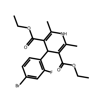 CCOC(=O)C1=C(C)NC(C)=C(C(=O)OCC)C1c1ccc(Br)cc1F